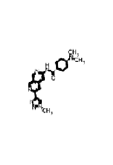 Cn1cc(-c2cc3cc(NC(=O)[C@H]4CC[C@H](N(C)C)CC4)ncc3cn2)nn1